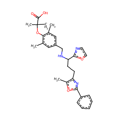 Cc1cc(CNC(CCc2nc(-c3ccccc3)oc2C)c2ncco2)cc(C)c1OC(C)(C)C(=O)O